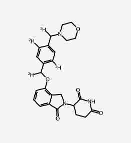 [2H]c1cc(C([2H])N2CCOCC2)c([2H])cc1C([2H])Oc1cccc2c1CN(C1CCC(=O)NC1=O)C2=O